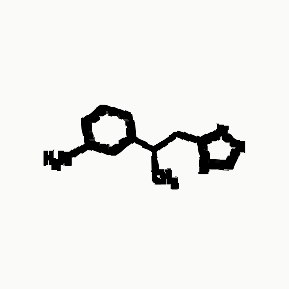 C[C@H](Cc1nncs1)c1cccc(N)c1